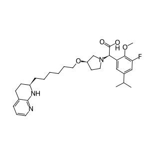 COc1c(F)cc(C(C)C)cc1[C@H](C(=O)O)N1CC[C@@H](OCCCCCC[C@@H]2CCc3cccnc3N2)C1